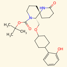 CC(C)(C)OC(=O)N1CCC[C@@]2(CCCC(=O)N2)[C@@H]1COC1CCC(c2ccccc2O)CC1